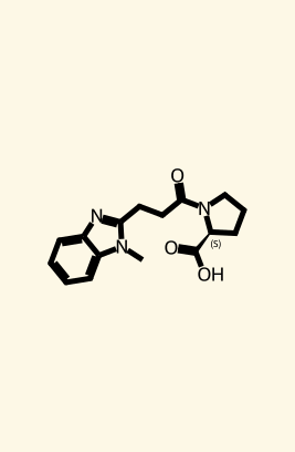 Cn1c(CCC(=O)N2CCC[C@H]2C(=O)O)nc2ccccc21